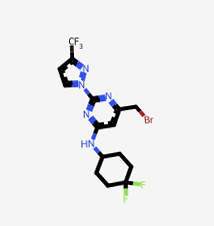 FC1(F)CCC(Nc2cc(CBr)nc(-n3ccc(C(F)(F)F)n3)n2)CC1